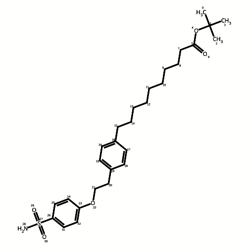 CC(C)(C)OC(=O)CCCCCCCCCc1ccc(CCOc2ccc(S(N)(=O)=O)cc2)cc1